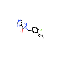 Cc1cc(CNC(=O)c2ccncn2)ccc1F